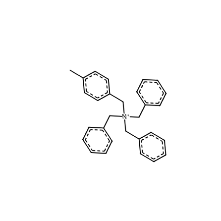 Cc1ccc(C[N+](Cc2ccccc2)(Cc2ccccc2)Cc2ccccc2)cc1